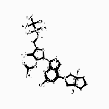 C=C1[C@@H](OC(C)=O)[C@H](n2ncc3c(N4C[C@H]5CCC[C@H]5C4)cc(Cl)nc32)O[C@@H]1CO[Si](C)(C)C(C)(C)C